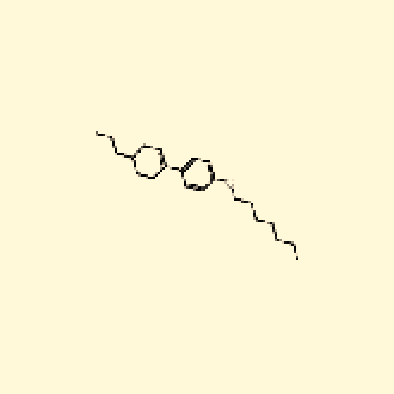 CCCCCCCOc1ccc(C2=CCC(CCC)CC2)cc1